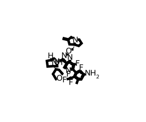 C=C1CN2CCC[C@@]2(COc2nc(N3C[C@@H]4CC[C@](C5CCOCC5)(C3)N4)c3cnc(-c4c(F)c(N)cc(C)c4C(F)(F)F)c(F)c3n2)C1